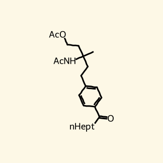 CCCCCCCC(=O)c1ccc(CCC(C)(CCOC(C)=O)NC(C)=O)cc1